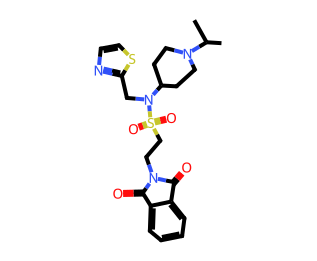 CC(C)N1CCC(N(Cc2nccs2)S(=O)(=O)CCN2C(=O)c3ccccc3C2=O)CC1